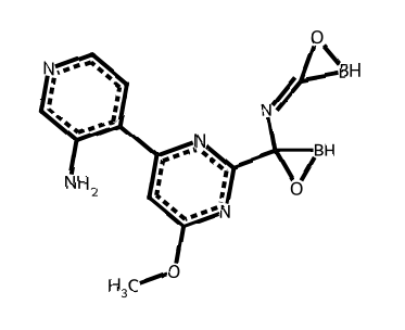 COc1cc(-c2ccncc2N)nc(C2(/N=C3\BO3)BO2)n1